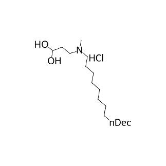 CCCCCCCCCCCCCCCCCCN(C)CCC(O)O.Cl